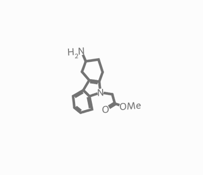 COC(=O)Cn1c2c(c3ccccc31)CC(N)CC2